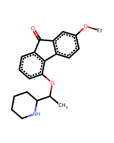 CCOc1ccc2c(c1)C(=O)c1cccc(OC(C)C3CCCCN3)c1-2